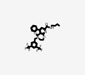 CCCCNC(=O)c1cc(-c2ccccc2)c2c(n1)OCCN(Cc1cc(C(F)(F)F)cc(C(F)(F)F)c1)C2=O